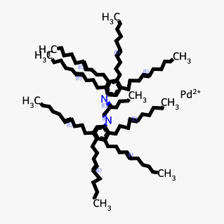 CCCCC/C=C/CCCc1cc(/N=C/C(CCCC)=N/c2cc(CCC/C=C/CCCCC)c(CCC/C=C/CCCCC)c(CCC/C=C/CCCCC)c2CCC/C=C/CCCCC)c(CCC/C=C/CCCCC)c(CCC/C=C/CCCCC)c1CCC/C=C/CCCCC.[Pd+2]